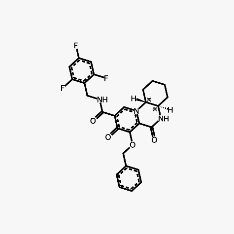 O=C(NCc1c(F)cc(F)cc1F)c1cn2c(c(OCc3ccccc3)c1=O)C(=O)N[C@@H]1CCCC[C@H]12